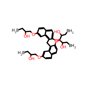 BCC(O)COc1ccc2ccc(OCC(O)CB)c(Cc3c(OCC(O)CB)ccc4ccc(OCC(O)CB)cc34)c2c1